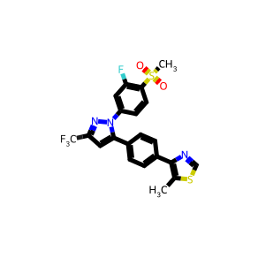 Cc1scnc1-c1ccc(-c2cc(C(F)(F)F)nn2-c2ccc(S(C)(=O)=O)c(F)c2)cc1